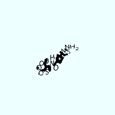 COC(=O)c1scc(NC(=O)c2ccc(C3(C)CCSC(N)=N3)cc2)c1C(=O)OC